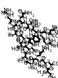 CC[C@H](C)[C@H](NC(=O)[C@H](CCCCN)NC(=O)[C@H](CCC(=O)O)NC(=O)[C@@H](N)CO)C(=O)N[C@@H](CC(C)C)C(=O)N[C@@H](CC(C)C)C(=O)N[C@@H](CO)C(=O)N[C@@H](Cc1c[nH]c2ccccc12)C(=O)N[C@H](C(=O)N[C@@H](CCCNC(=N)N)C(=O)N[C@@H](CCC(N)=O)C(=O)N[C@@H](CO)C(=O)N[C@H](C(=O)N[C@@H](CCCNC(=N)N)C(=O)N[C@@H](CC(N)=O)C(=O)O)[C@@H](C)O)C(C)C